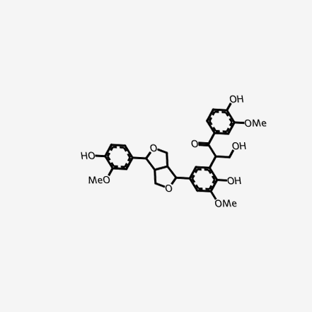 COc1cc(C(=O)C(CO)c2cc(C3OCC4C(c5ccc(O)c(OC)c5)OCC34)cc(OC)c2O)ccc1O